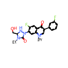 CCN1C(=O)N(c2cc3c(cc2F)c(=O)c(-c2cccc(F)c2)cn3C(C)C)NC1CO